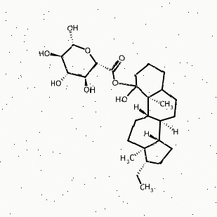 CC[C@H]1CC[C@H]2[C@@H]3CCC4CCCC(O)(OC(=O)[C@H]5O[C@@H](O)[C@H](O)[C@@H](O)[C@@H]5O)[C@]4(C)[C@H]3CC[C@]12C